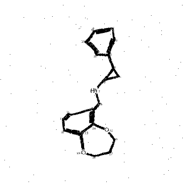 c1ccc(C2CC2NCc2cccc3c2OCCCO3)cc1